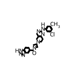 Cc1cc(Cl)cc(Nc2ncc3c(n2)CCN(C2CN(C(=O)c4ccc5[nH]nnc5c4)C2)C3)c1